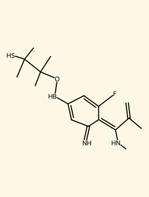 C=C(C)/C(NC)=C1/C(=N)C=C(BOC(C)(C)C(C)(C)S)C=C1F